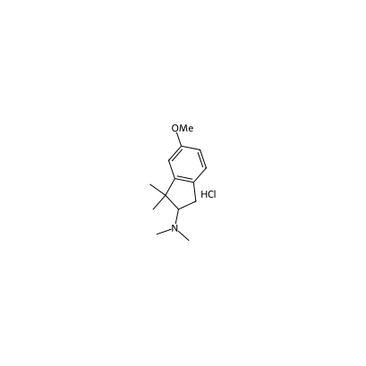 COc1ccc2c(c1)C(C)(C)C(N(C)C)C2.Cl